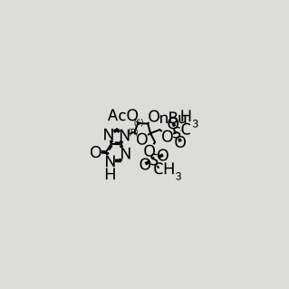 CCCCOC1[C@H](OC(C)=O)[C@H](n2cnc3c(=O)[nH]cnc32)OC1(COS(C)(=O)=O)COS(C)(=O)=O